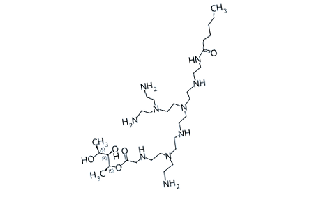 CCCCCC(=O)NCCNCCN(CCNCCN(CCN)CCNCC(=O)O[C@@H](C)[C@H](O)[C@H](C)O)CCN(CCN)CCN